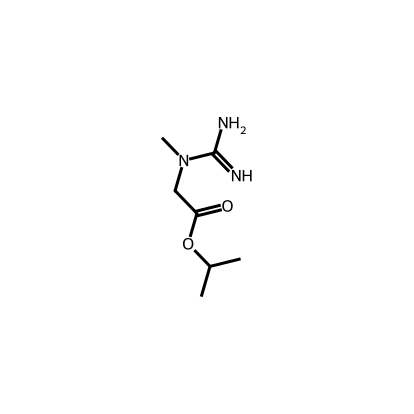 CC(C)OC(=O)CN(C)C(=N)N